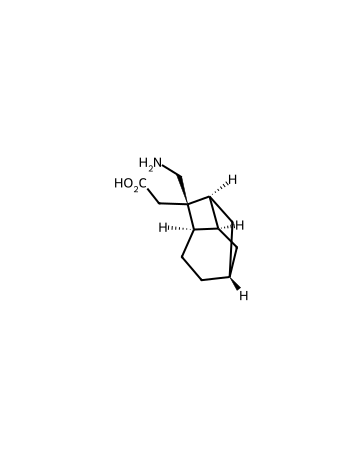 NC[C@]1(CC(=O)O)[C@@H]2CC[C@H]3C[C@@H]2[C@@H]1C3